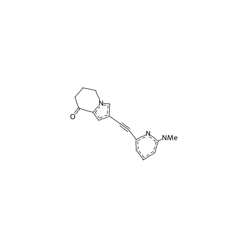 CNc1cccc(C#Cc2cc3n(c2)CCCC3=O)n1